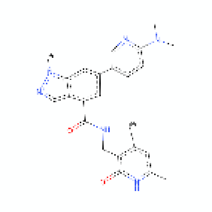 CCCc1cc(C)[nH]c(=O)c1CNC(=O)c1cc(-c2ccc(N(C)C)nc2)cc2c1cnn2C(C)C